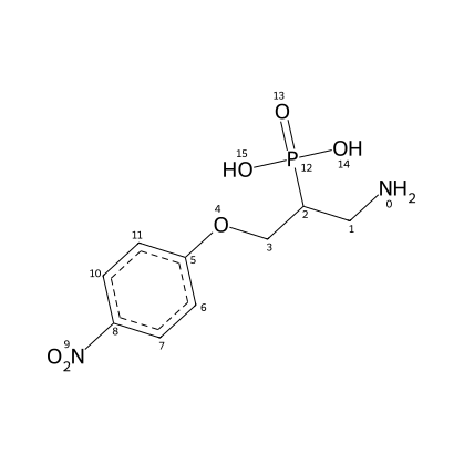 NCC(COc1ccc([N+](=O)[O-])cc1)P(=O)(O)O